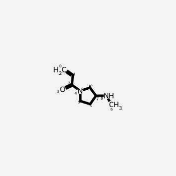 C=CC(=O)N1CCC(NC)C1